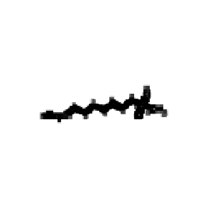 CCCCCCCCCCCC=CCS(C)(=O)=O